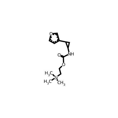 C[Si](C)(C)CCOC(=O)NC1CC1c1ccoc1